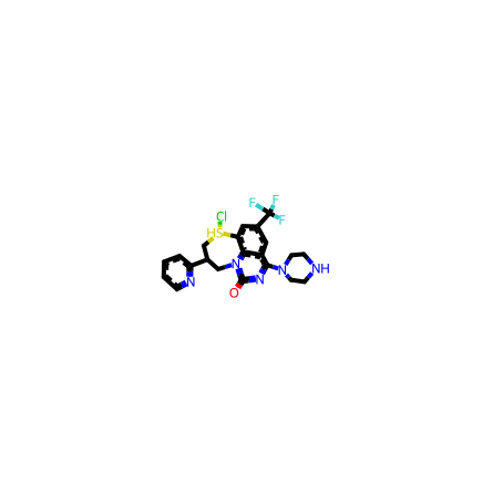 O=c1nc(N2CCNCC2)c2cc(C(F)(F)F)cc3c2n1CC(c1ccccn1)C[SH]3Cl